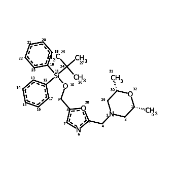 C[C@@H]1CN(Cc2ncc(CO[Si](c3ccccc3)(c3ccccc3)C(C)(C)C)o2)C[C@H](C)O1